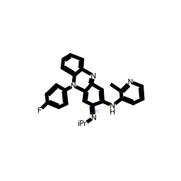 Cc1ncccc1Nc1cc2nc3ccccc3n(-c3ccc(F)cc3)c-2c/c1=N\C(C)C